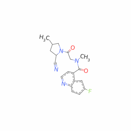 CC1CC(C#N)N(C(=O)CN(C)C(=O)c2ccnc3ccc(F)cc23)C1